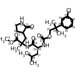 COC(=O)C(C)(CC1CCNC1=O)NC(=O)[C@H](CC(C)C)NC(=O)OCC(C)(C)c1cccc(Cl)c1